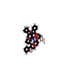 CC(C)(C)C1=C(N(c2ccccc2-c2ccccc2)c2ccccc2-c2cccc3oc4ccccc4c23)C2(C=CC=C3C2=Cc2ccccc23)C2=Cc3ccccc3C2=C1